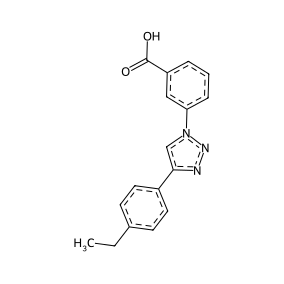 CCc1ccc(-c2cn(-c3cccc(C(=O)O)c3)nn2)cc1